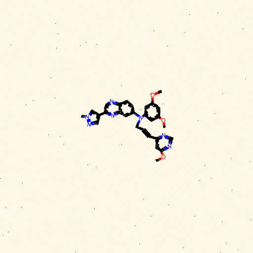 COc1cc(OC)cc(N(CC#Cc2cc(OC)ncn2)c2ccc3ncc(-c4cnn(C)c4)nc3c2)c1